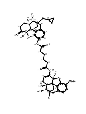 COc1ccc2c3c1O[C@H]1C(OC(=O)CCCCC(=O)Oc4ccc5c6c4O[C@H]4C(=O)CC[C@@]7(O)[C@@H](C5)N(CC5CC5)CC[C@]647)=CC[C@@]4(O)[C@@H](C2)N(C)CC[C@]314